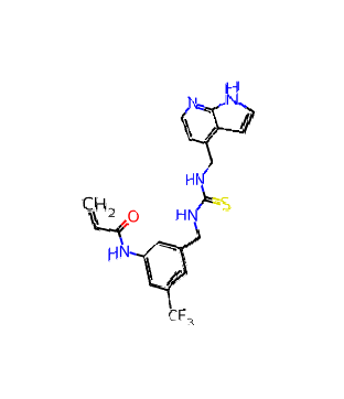 C=CC(=O)Nc1cc(CNC(=S)NCc2ccnc3[nH]ccc23)cc(C(F)(F)F)c1